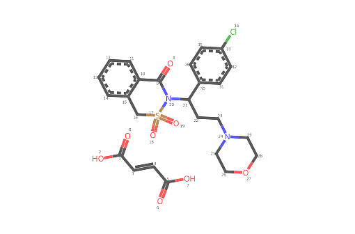 O=C(O)C=CC(=O)O.O=C1c2ccccc2CS(=O)(=O)N1C(CCN1CCOCC1)c1ccc(Cl)cc1